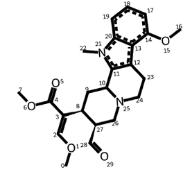 CO/C=C(/C(=O)OC)[C@H]1CC2c3c(c4c(OC)cccc4n3C)CCN2C[C@H]1C=O